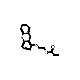 C=CC(=O)OCCSc1cccc2c1Cc1ccccc1S2